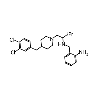 CC(C)C(CN1CCC(Cc2ccc(Cl)c(Cl)c2)CC1)NCc1ccccc1N